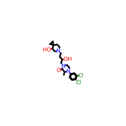 CC1C(=O)N(CC(O)CCN2CCC3(CC3)C(O)C2)CCN1c1ccc(Cl)c(Cl)c1